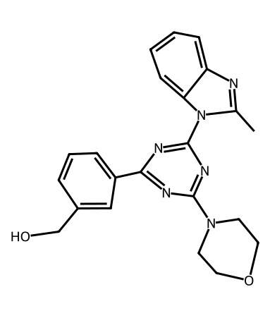 Cc1nc2ccccc2n1-c1nc(-c2cccc(CO)c2)nc(N2CCOCC2)n1